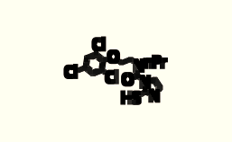 CCCN(CCOc1c(Cl)cc(Cl)cc1Cl)C(=O)n1ccnc1S